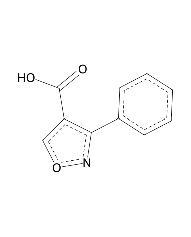 O=C(O)c1conc1-c1ccccc1